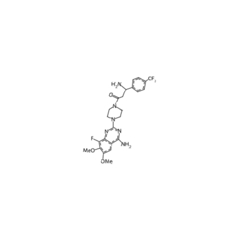 COc1cc2c(N)nc(N3CCN(C(=O)CC(N)c4ccc(C(F)(F)F)cc4)CC3)nc2c(F)c1OC